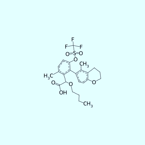 CCCCOC(C(=O)O)c1c(C)ccc(OS(=O)(=O)C(F)(F)F)c1-c1ccc2c(c1C)CCCO2